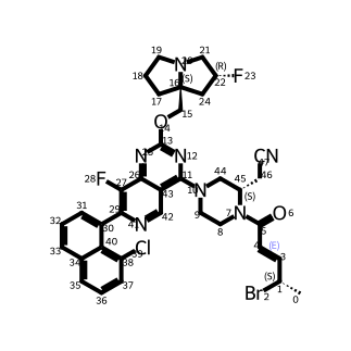 C[C@H](Br)/C=C/C(=O)N1CCN(c2nc(OC[C@@]34CCCN3C[C@H](F)C4)nc3c(F)c(-c4cccc5cccc(Cl)c45)ncc23)C[C@@H]1CC#N